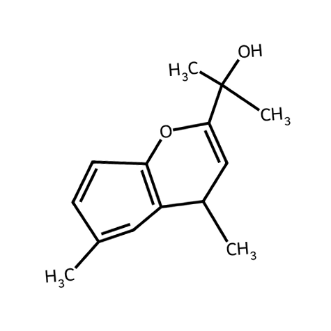 Cc1ccc2c(c1)C(C)C=C(C(C)(C)O)O2